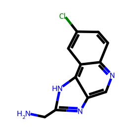 NCc1nc2cnc3ccc(Cl)cc3c2[nH]1